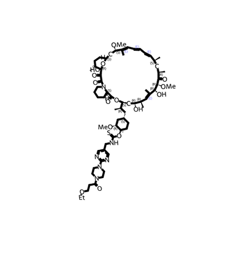 CCOCCC(=O)N1CCN(c2ncc(CNC(=S)O[C@@H]3CC[C@@H](C[C@@H](C)[C@@H]4C[C@@H](O)[C@H](C)/C=C(\C)[C@@H](O)[C@@H](OC)C(=O)[C@H](C)C[C@H](C)/C=C/C=C/C=C(\C)[C@@H](OC)C[C@@H]5CC[C@@H](C)[C@@](O)(O5)C(=O)C(=O)N5CCCC[C@H]5C(=O)O4)C[C@H]3OC)cn2)CC1